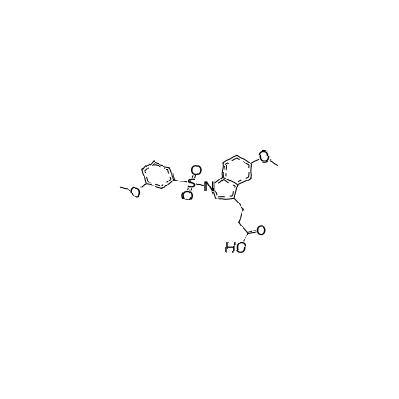 COc1cccc(S(=O)(=O)n2cc(CCC(=O)O)c3cc(OC)ccc32)c1